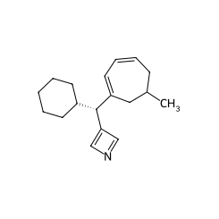 CC1CC=CC=C([C@H](C2=CN=C2)C2CCCCC2)C1